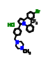 CN1CCN(Cc2ccc(-c3ccc(-c4ccc(Br)cc4)n3-c3ccccc3C(F)(F)F)cc2)CC1.Cl